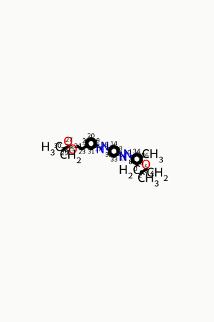 C=C(C)C(=C)Oc1ccc(/N=N/c2ccc(/N=N/c3cccc(CCOC(=O)C(=C)C)c3)cc2)cc1C